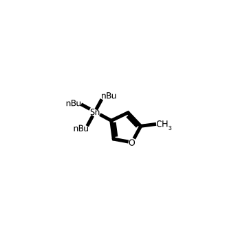 CCC[CH2][Sn]([CH2]CCC)([CH2]CCC)[c]1coc(C)c1